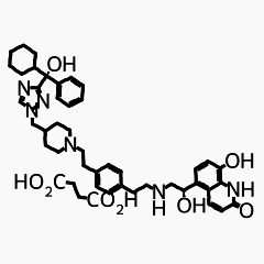 O=C(O)CCC(=O)O.O=c1ccc2c([C@@H](O)CNCCc3ccc(CCN4CCC(Cn5cnc([C@](O)(c6ccccc6)C6CCCCC6)n5)CC4)cc3)ccc(O)c2[nH]1